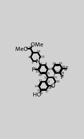 COC(OC)C1CCN(c2ccc(C3c4ccc(O)cc4OC[C@H]3c3cccc(F)c3F)cc2F)CC1